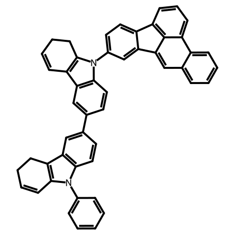 C1=Cc2c(c3cc(-c4ccc5c(c4)c4c(n5-c5ccc6c(c5)-c5cc7ccccc7c7cccc-6c57)CCC=C4)ccc3n2-c2ccccc2)CC1